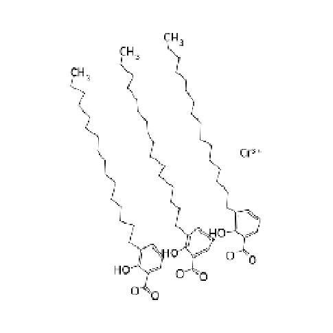 CCCCCCCCCCCCCCCCc1cccc(C(=O)[O-])c1O.CCCCCCCCCCCCCCCCc1cccc(C(=O)[O-])c1O.CCCCCCCCCCCCCCCCc1cccc(C(=O)[O-])c1O.[Cr+3]